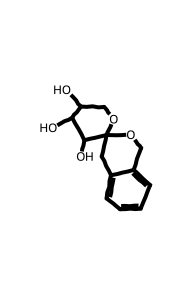 OC1COC2(Cc3ccccc3CO2)C(O)C1O